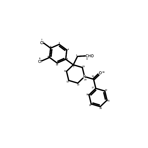 O=CCC1(c2ccc(Cl)c(Cl)c2)CCCN(C(=O)c2ccccc2)C1